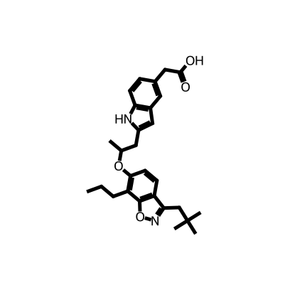 CCCc1c(OC(C)Cc2cc3cc(CC(=O)O)ccc3[nH]2)ccc2c(CC(C)(C)C)noc12